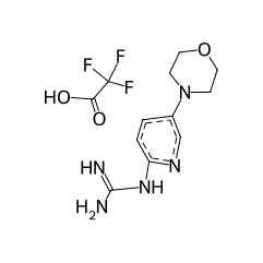 N=C(N)Nc1ccc(N2CCOCC2)cn1.O=C(O)C(F)(F)F